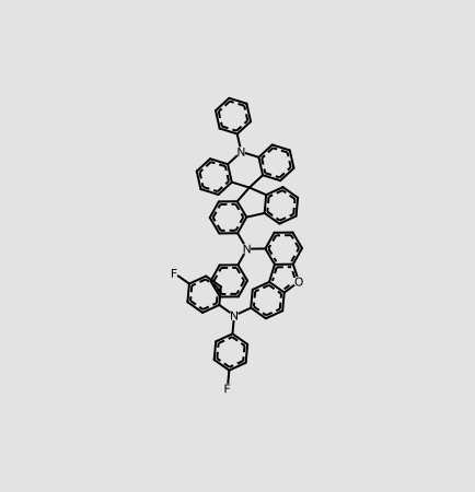 Fc1ccc(N(c2ccc(F)cc2)c2ccc3oc4cccc(N(c5ccccc5)c5cccc6c5-c5ccccc5C65c6ccccc6N(c6ccccc6)c6ccccc65)c4c3c2)cc1